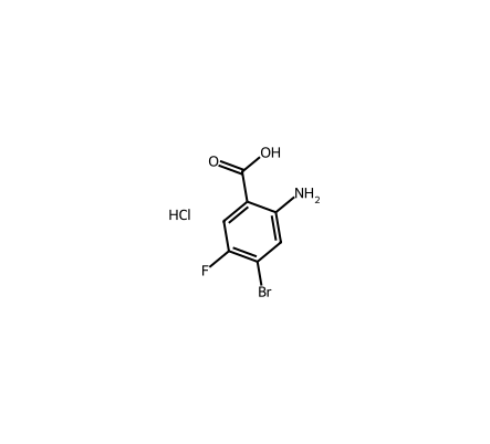 Cl.Nc1cc(Br)c(F)cc1C(=O)O